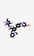 CCN(c1cc(-c2ccc(CN3CCC(O)CC3)cc2)cc(C(=O)NCc2c(C)cc(C)[nH]c2=O)c1C)C1CCCCC1